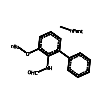 CCCCCC.CCCCOc1cccc(-c2ccccc2)c1NC=O